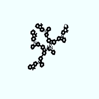 CC1(C)c2ccccc2-c2ccc(-n3c4ccccc4c4cc(-c5ccc6c(c5)c5cc(-c7ccc8c(c7)c7ccccc7n8-c7ccc8c(c7)C(C)(C)c7ccccc7-8)ccc5n6-c5cc(-c6ccccc6)nc(-n6c7ccc(-c8ccc9c(c8)c8ccccc8n9-c8ccc9c(c8)C(C)(C)c8ccccc8-9)cc7c7cc(-c8ccc9c(c8)c8ccccc8n9-c8ccc9c(c8)C(C)(C)c8ccccc8-9)ccc76)n5)ccc43)cc21